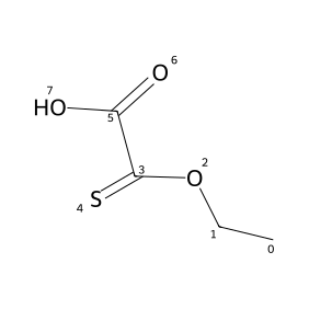 CCOC(=S)C(=O)O